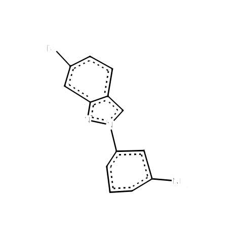 Nc1cccc(-n2cc3ccc(Br)cc3n2)c1